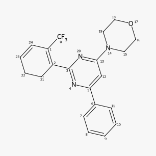 FC(F)(F)C1=C(c2nc(-c3ccccc3)cc(N3CCOCC3)n2)[CH]CC=C1